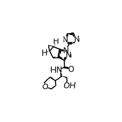 O=C(N[C@@H](CO)C1CCOCC1)c1nn(-c2cnccn2)c2c1C[C@H]1C[C@@H]21